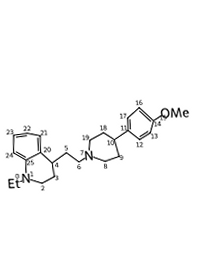 CCN1CCC(CCN2CCC(c3ccc(OC)cc3)CC2)c2ccccc21